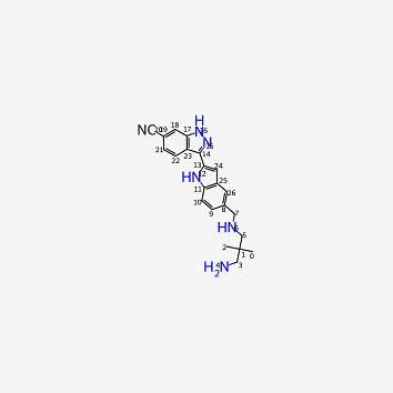 CC(C)(CN)CNCc1ccc2[nH]c(-c3n[nH]c4cc(C#N)ccc34)cc2c1